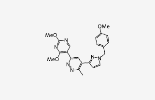 COc1ccc(Cn2ccc(-c3cc(-c4cnc(OC)nc4OC)nnc3C)n2)cc1